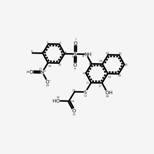 Cc1ccc(S(=O)(=O)Nc2cc(SCC(=O)O)c(O)c3ccccc23)cc1[N+](=O)[O-]